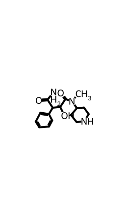 CN(C(=O)C(O)C(C(N)=O)c1ccccc1)C1CCNCC1